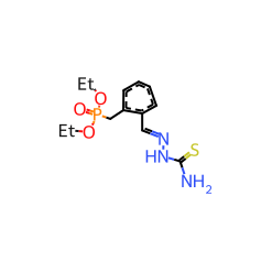 CCOP(=O)(Cc1ccccc1C=NNC(N)=S)OCC